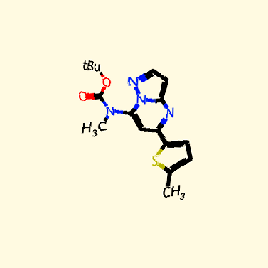 Cc1ccc(-c2cc(N(C)C(=O)OC(C)(C)C)n3nccc3n2)s1